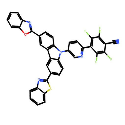 N#Cc1c(F)c(F)c(-c2ccc(-n3c4ccc(-c5nc6ccccc6o5)cc4c4cc(-c5nc6ccccc6s5)ccc43)cn2)c(F)c1F